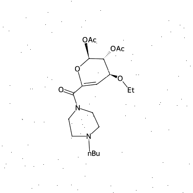 CCCCN1CCN(C(=O)C2=C[C@H](OCC)[C@@H](OC(C)=O)[C@H](OC(C)=O)O2)CC1